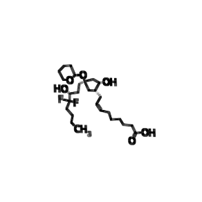 CCCCC(F)(F)[C@H](O)CC[C@@]1(O[C@@H]2CCCCO2)C[C@@H](C/C=C\CCCCCC(=O)O)[C@@H](O)C1